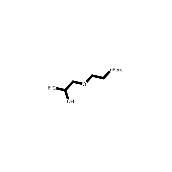 CCCCCCCOCC(O)C(F)(F)F